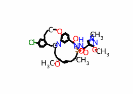 COc1nn(C)cc1C(=O)NS1(=O)=NC(=O)c2ccc3c(c2)N(CCC[C@H](OC)C#CC[C@H](C)C1)CCc1ccc(Cl)cc1CCCCO3